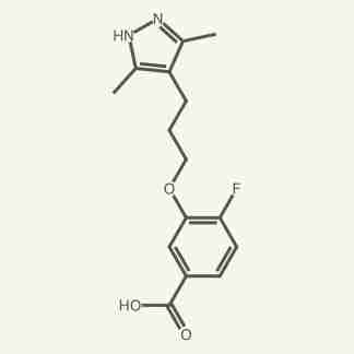 Cc1n[nH]c(C)c1CCCOc1cc(C(=O)O)ccc1F